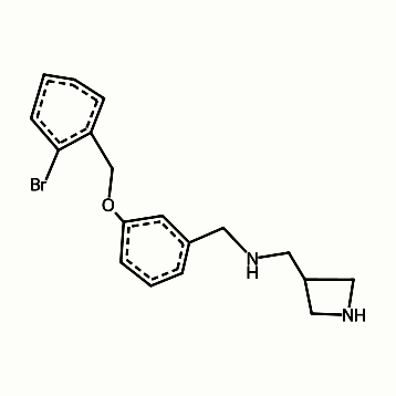 Brc1ccccc1COc1cccc(CNCC2CNC2)c1